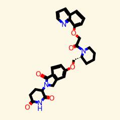 O=C1CCC(N2Cc3cc(OC[C@H]4CCCCN4C(=O)COc4cccc5cccnc45)ccc3C2=O)C(=O)N1